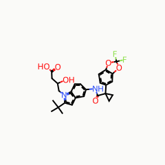 CC(C)(C)c1cc2cc(NC(=O)C3(c4ccc5c(c4)OC(F)(F)O5)CC3)ccc2n1CC(O)CC(=O)O